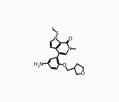 Cn1cc(-c2cc(N)ccc2OCC2CCOC2)c2ccn(SI)c2c1=O